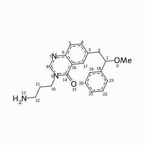 COC(Cc1ccc2ncn(CCCN)c(=O)c2c1)c1ccccc1